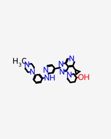 CN1CCN(c2cccc(Nc3cc(-c4nc(N5CCCC(O)C5)c5c(C6CC6)cncc5n4)ccn3)c2)CC1